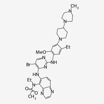 CCc1cc(Nc2ncc(Br)c(Nc3ccc4nccnc4c3N(CC)S(C)(=O)=O)n2)c(OC)cc1N1CCC(N2CCN(C)CC2)CC1